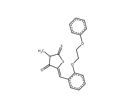 CN1C(=O)C(=Cc2ccccc2OCCOc2ccccc2)SC1=S